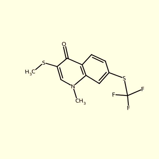 CSc1cn(C)c2cc(SC(F)(F)F)ccc2c1=O